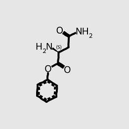 NC(=O)C[C@H](N)C(=O)Oc1ccccc1